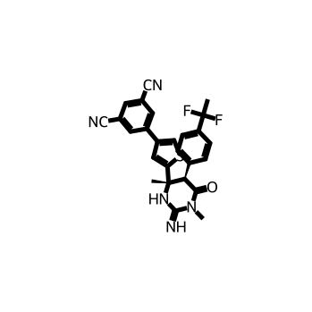 CN1C(=N)N[C@](C)(c2cc(-c3cc(C#N)cc(C#N)c3)cs2)[C@@H](c2ccc(C(C)(F)F)cc2)C1=O